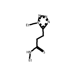 CCNC(=S)CCc1nnnn1CC